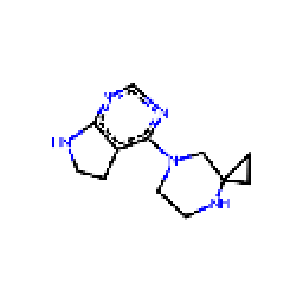 c1nc2c(c(N3CCNC4(CC4)C3)n1)CCN2